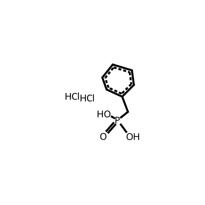 Cl.Cl.O=P(O)(O)Cc1ccccc1